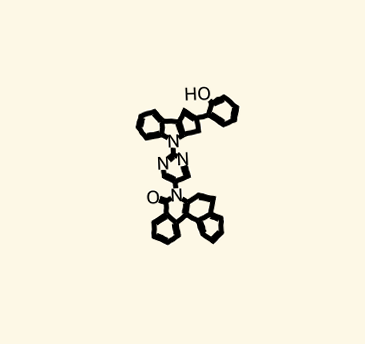 O=c1c2ccccc2c2c3ccccc3ccc2n1-c1cnc(-n2c3c(c4ccccc42)C=C(c2ccccc2O)C3)nc1